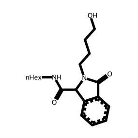 CCCCCCNC(=O)C1c2ccccc2C(=O)N1CCCCO